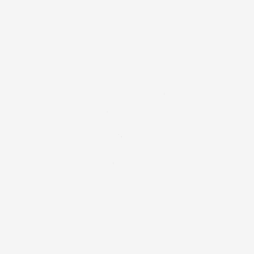 CCOC(C)CN(CC)CC